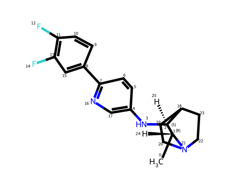 C[C@@H]1[C@@H](Nc2ccc(-c3ccc(F)c(F)c3)nc2)C2CCN1CC2